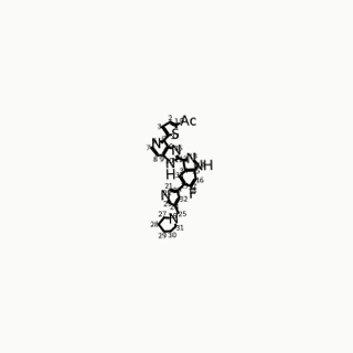 CC(=O)c1ccc(-c2nccc3[nH]c(-c4n[nH]c5cc(F)c(-c6cncc(CN7CCCCC7)c6)cc45)nc23)s1